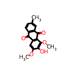 COc1cc2c(c(OC)c1O)C(=O)c1cc(C)ccc1C2=O